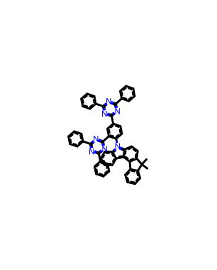 CC1(C)c2ccccc2-c2c1ccc1c2c2ccccc2n1-c1ccc(-c2nc(-c3ccccc3)nc(-c3ccccc3)n2)cc1-c1nc(-c2ccccc2)nc(-c2ccccc2)n1